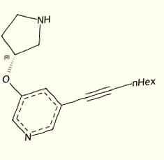 CCCCCCC#Cc1cncc(O[C@@H]2CCNC2)c1